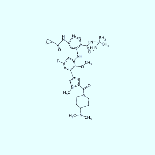 BC(B)(B)NC(=O)c1nnc(NC(=O)C2CC2)cc1Nc1cc(F)cc(-c2cc(C(=O)N3CCC(N(C)C)CC3)n(C)n2)c1OC